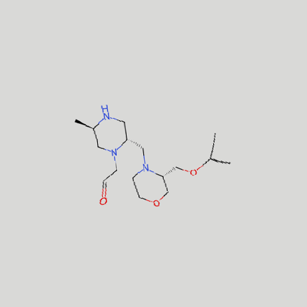 CC(C)OC[C@@H]1COCCN1C[C@H]1CN[C@H](C)CN1CC=O